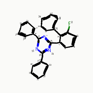 Fc1cccc(-c2nc(-c3ccccc3)nc(-c3ccccc3)n2)c1-c1ccccc1